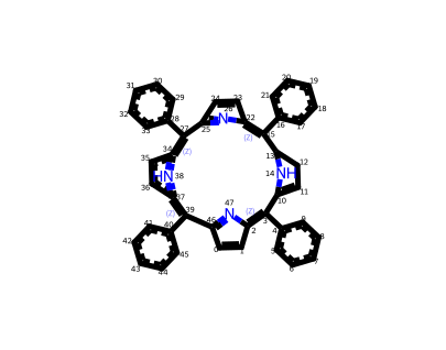 C1=C/C2=C(\c3ccccc3)C3=CCC(N3)/C(c3ccccc3)=C3/C=CC(=N3)/C(c3ccccc3)=c3/cc/c([nH]3)=C(\c3ccccc3)C1=N2